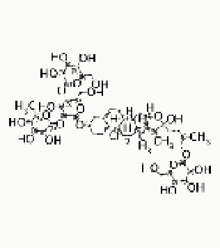 C[C@@H](CCC1(O)O[C@H]2C[C@H]3[C@@H]4CC=C5C[C@@H](O[C@@H]6O[C@H](CO)[C@@H](O[C@@H]7O[C@H](CO)[C@@H](O)[C@H](O)[C@H]7O)[C@H](O)[C@H]6O[C@@H]6O[C@@H](C)[C@H](O)[C@@H](O)[C@H]6O)CC[C@]5(C)[C@H]4CC[C@]3(C)[C@H]2[C@@H]1C)CO[C@@H]1O[C@H](CO)[C@@H](O)[C@H](O)[C@H]1O